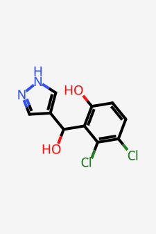 Oc1ccc(Cl)c(Cl)c1C(O)c1cn[nH]c1